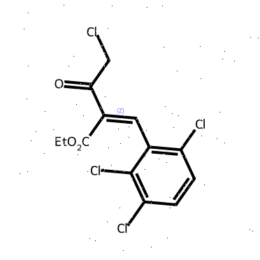 CCOC(=O)/C(=C\c1c(Cl)ccc(Cl)c1Cl)C(=O)CCl